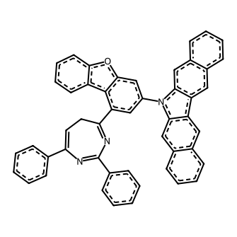 C1=C(c2ccccc2)N=C(c2ccccc2)N=C(c2cc(-n3c4cc5ccccc5cc4c4cc5ccccc5cc43)cc3oc4ccccc4c23)C1